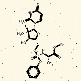 C=C1NC(=O)C=CN1[C@@H]1O[C@H](CO[P@@](=O)(N[C@@H](C)C(=O)OC(C)C)Oc2ccccc2)[C@@H](O)[C@@]1(C)F